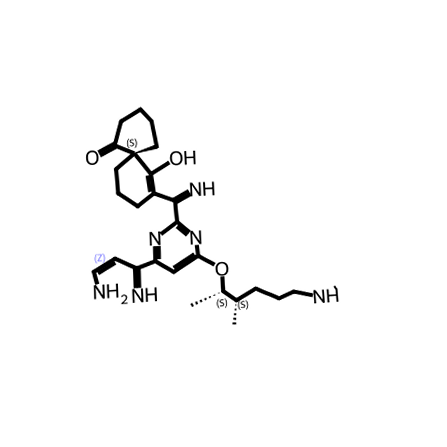 CNCCC[C@H](C)[C@H](C)Oc1cc(C(=N)/C=C\N)nc(C(=N)C2=C(O)[C@]3(CCCCC3=O)CCC2)n1